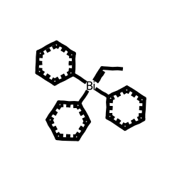 C[CH]=[Bi]([c]1ccccc1)([c]1ccccc1)[c]1ccccc1